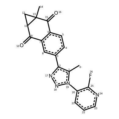 Cc1c(-c2ccc3c(c2)C(=O)C2CC2(C)C3=O)nnn1-c1cccnc1F